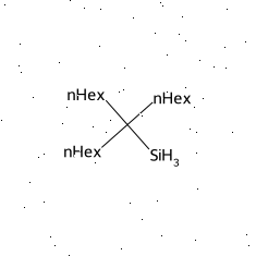 CCCCCCC([SiH3])(CCCCCC)CCCCCC